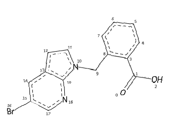 O=C(O)c1ccccc1Cn1ccc2cc(Br)cnc21